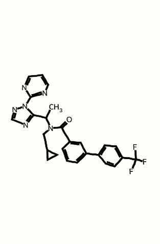 CC(c1ncnn1-c1ncccn1)N(CC1CC1)C(=O)c1cccc(-c2ccc(C(F)(F)F)cc2)c1